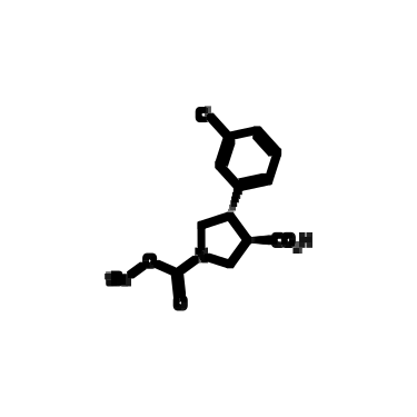 CC(C)(C)OC(=O)N1C[C@H](C(=O)O)[C@@H](c2cccc(Cl)c2)C1